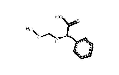 COCN[C@@H](C(=O)O)c1ccccc1